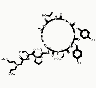 CNCCN(CCNC)CC(=O)N[C@@H](CC(C)C)C(=O)N1CCC[C@H]1[C@H](O)N[C@H]1CSSC[C@@H](C)NC(=O)[C@H](C(C)O)NC(=O)CNC(=O)[C@H](Cc2ccc(O)cc2)NC(=O)[C@H](Cc2ccc(O)cc2)NC(=O)[C@H](CC(=O)O)NC1=O